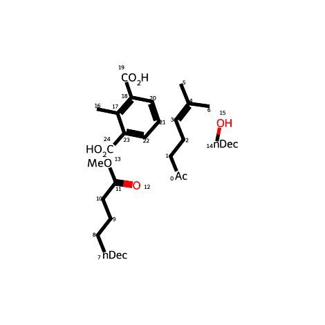 CC(=O)CCC=C(C)C.CCCCCCCCCCCCCC(=O)OC.CCCCCCCCCCO.Cc1c(C(=O)O)cccc1C(=O)O